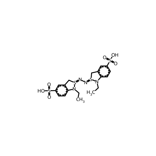 CCN1c2ccc(S(=O)(=O)O)cc2CS1=NN=S1Cc2cc(S(=O)(=O)O)ccc2N1CC